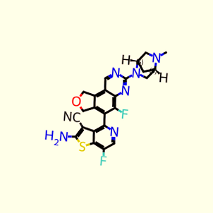 CN1C[C@@H]2C[C@H]1CN2c1ncc2c3c(c(-c4ncc(F)c5sc(N)c(C#N)c45)c(F)c2n1)COC3